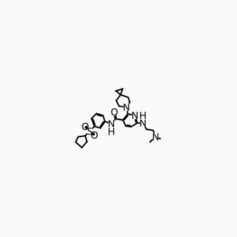 CN(C)CCNc1ccc(C(=O)Nc2cccc(S(=O)(=O)C3CCCC3)c2)c(N2CCC3(CC2)CC3)n1